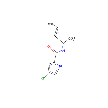 CC(C)(C)/C=C/C(NC(=O)c1cc(Cl)c[nH]1)C(=O)O